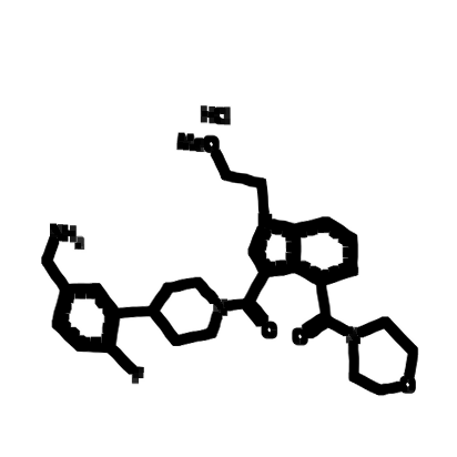 COCCn1cc(C(=O)N2CCC(c3cc(CN)ccc3F)CC2)c2c(C(=O)N3CCOCC3)cccc21.Cl